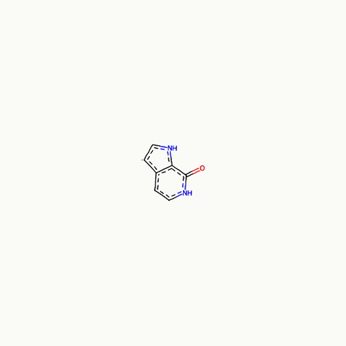 O=c1[nH]ccc2[c]c[nH]c12